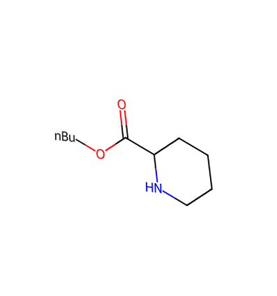 CCCCOC(=O)C1CCCCN1